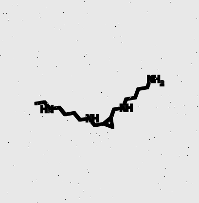 CCNCCCCNCC1CC1CNCCCCN